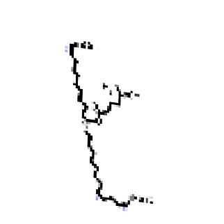 CCCCC/C=C\C/C=C\CCCCCCCC[C@H](CCCCCCCC/C=C\CCCCCCCC)OC(=O)CCCN(C)C